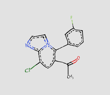 CC(=O)c1cc(Cl)c2nccn2c1-c1cccc(F)c1